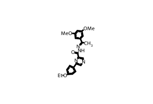 CCOc1ccc(-c2cncc(C(=O)N/N=C(\C)c3cc(OC)cc(OC)c3)n2)cc1